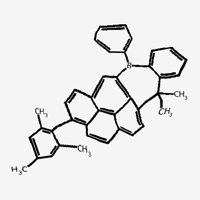 Cc1cc(C)c(-c2ccc3cc4c5c(ccc6ccc2c3c65)C(C)(C)c2ccccc2B4c2ccccc2)c(C)c1